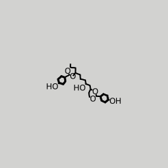 CC1CC(CCCC(O)CC2CCOC(c3ccc(O)cc3)O2)OC(c2ccc(O)cc2)O1